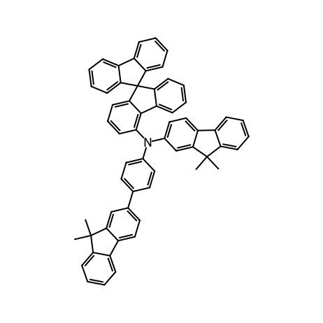 CC1(C)c2ccccc2-c2ccc(-c3ccc(N(c4ccc5c(c4)C(C)(C)c4ccccc4-5)c4cccc5c4-c4ccccc4C54c5ccccc5-c5ccccc54)cc3)cc21